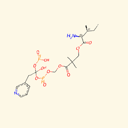 CC[C@H](C)[C@H](N)C(=O)OCC(C)(C)C(=O)OCO[PH](=O)OC(O)(Cc1cccnc1)O[PH](=O)O